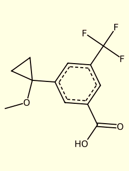 COC1(c2cc(C(=O)O)cc(C(F)(F)F)c2)CC1